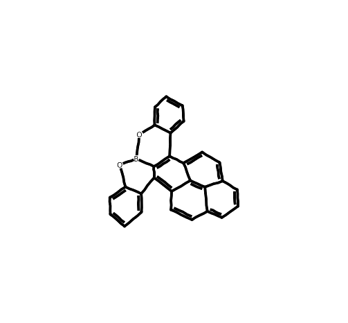 c1ccc2c(c1)OB1Oc3ccccc3-c3c1c-2c1ccc2cccc4ccc3c1c24